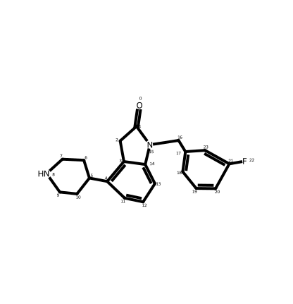 O=C1Cc2c(C3CCNCC3)cccc2N1Cc1cccc(F)c1